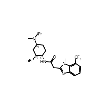 CCC[C@H]1C[C@@H](N(C)C(C)C)CC[C@@H]1NC(=O)Cc1nc2cccc(C(F)(F)F)c2[nH]1